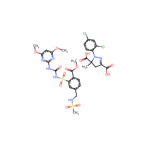 CC1(C(=O)O)CC(C(=O)O)=NN1c1ccc(Cl)cc1Cl.COC(=O)c1ccc(CNS(C)(=O)=O)cc1S(=O)(=O)NC(=O)Nc1nc(OC)cc(OC)n1